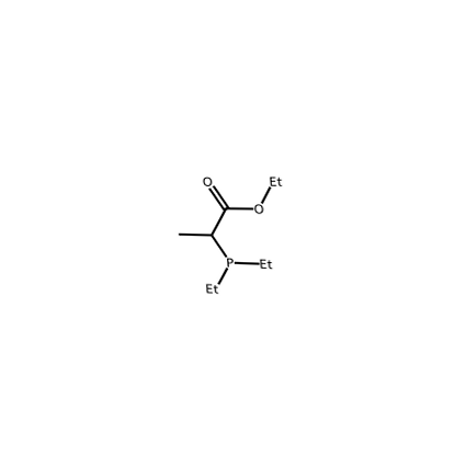 CCOC(=O)C(C)P(CC)CC